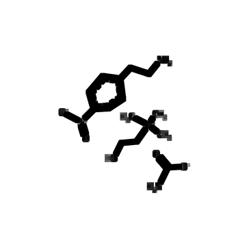 C[N+](C)(C)CCO.NC(=O)[O-].NCCc1ccc([N+](=O)[O-])cc1